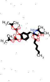 CCCCCC(=O)O[C@](Cc1ccc(OC(=O)OC(C)C)c(OC(=O)OC(C)C)c1)(NC(C)CC)C(=O)O